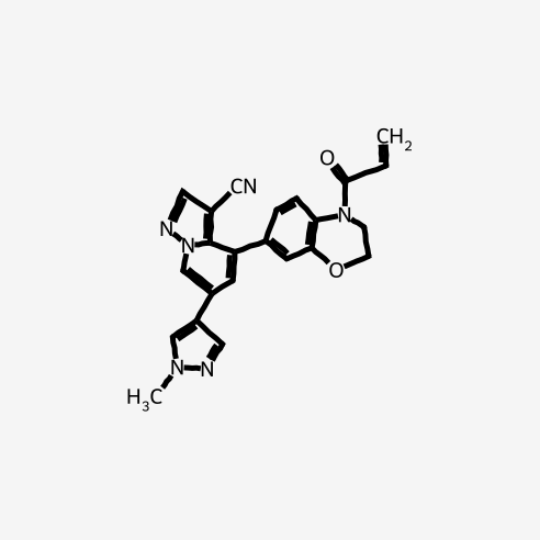 C=CC(=O)N1CCOc2cc(-c3cc(-c4cnn(C)c4)cn4ncc(C#N)c34)ccc21